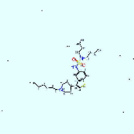 CCCCCCN1CCC(c2csc3ccc(NS(=O)(=O)N(CCCC)CCCC)cc23)CC1